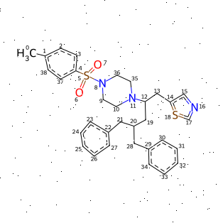 Cc1ccc(S(=O)(=O)N2CCN(C(Cc3cncs3)CC(Cc3ccccc3)Cc3ccccc3)CC2)cc1